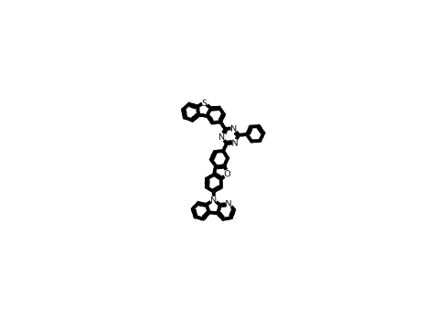 C1=CCCC(c2nc(-c3ccc4sc5ccccc5c4c3)nc(C3C=Cc4c(oc5cc(-n6c7ccccc7c7cccnc76)ccc45)C3)n2)=C1